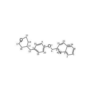 c1ccc2nc(COc3ccc(CC4CCOCC4)cc3)ccc2c1